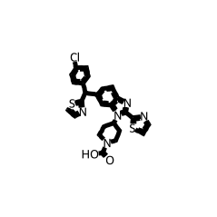 O=C(O)N1CCC(n2c(-c3nccs3)nc3ccc(C(c4ccc(Cl)cc4)c4nccs4)cc32)CC1